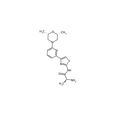 C[C@@H]1CN(c2cccc(-c3csc(NC(=O)[C@H](C)N)n3)n2)C[C@H](C)O1